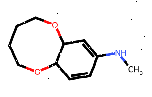 CNC1=CC2OCCCCOC2C=C1